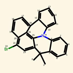 CC1(C)c2ccccc2N2c3ccccc3-c3cccc4c(Br)cc1c2c34